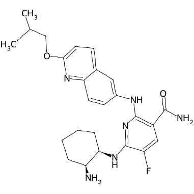 CC(C)COc1ccc2cc(Nc3nc(N[C@@H]4CCCC[C@@H]4N)c(F)cc3C(N)=O)ccc2n1